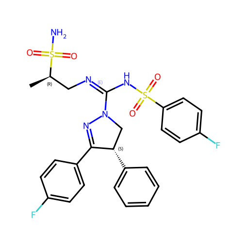 C[C@H](C/N=C(/NS(=O)(=O)c1ccc(F)cc1)N1C[C@H](c2ccccc2)C(c2ccc(F)cc2)=N1)S(N)(=O)=O